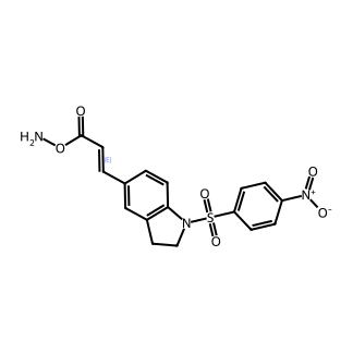 NOC(=O)/C=C/c1ccc2c(c1)CCN2S(=O)(=O)c1ccc([N+](=O)[O-])cc1